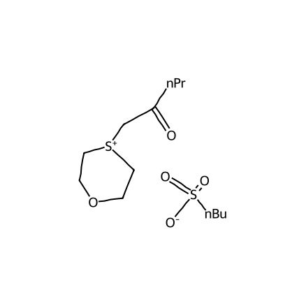 CCCC(=O)C[S+]1CCOCC1.CCCCS(=O)(=O)[O-]